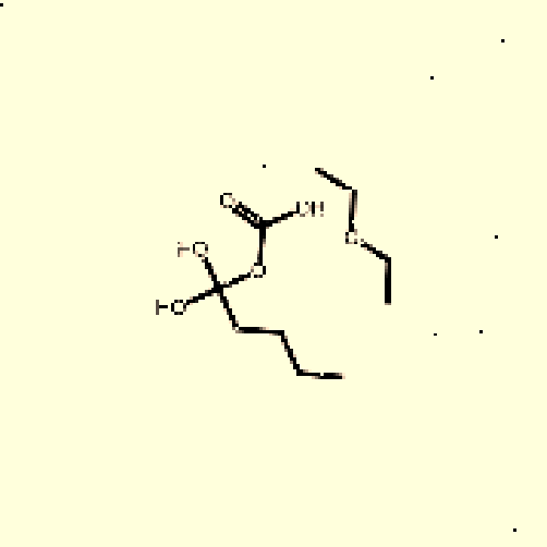 CCCCC(O)(O)OC(=O)O.CCOCC